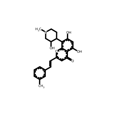 Cc1cccc(/C=C/c2cc(=O)c3c(O)cc(O)c(C4CCN(C)CC4O)c3o2)c1